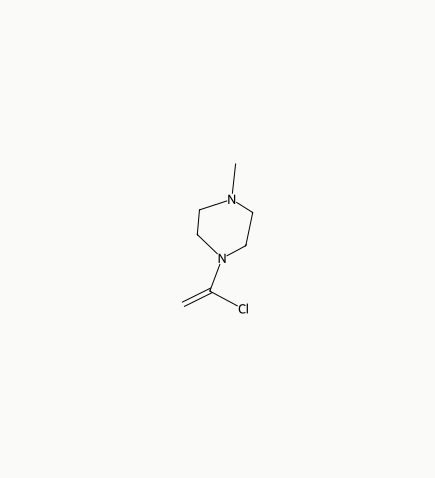 C=C(Cl)N1CCN(C)CC1